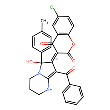 Cc1ccc(C2(O)/C(=C3/C(=O)Oc4ccc(Cl)cc4C3=O)C(C(=O)c3ccccc3)=C3NCCCN32)cc1